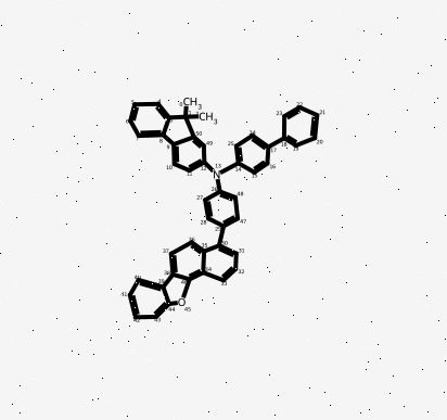 CC1(C)c2ccccc2-c2ccc(N(c3ccc(-c4ccccc4)cc3)c3ccc(-c4cccc5c4ccc4c6ccccc6oc54)cc3)cc21